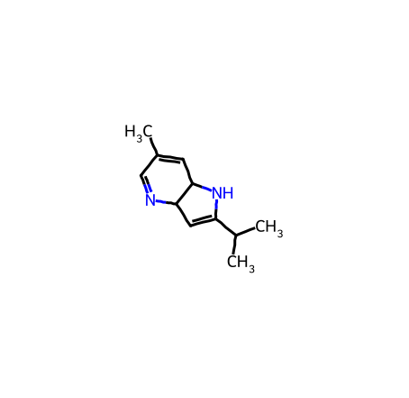 CC1=CC2NC(C(C)C)=CC2N=C1